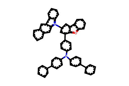 c1ccc(-c2ccc(N(c3ccc(-c4ccccc4)cc3)c3ccc(-c4cc(-n5c6ccccc6c6cc7ccccc7cc65)cc5c4oc4ccccc45)cc3)cc2)cc1